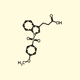 COc1ccc(S(=O)(=O)n2cc(CCC(=O)O)c3ccccc32)cc1